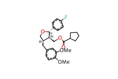 COc1ccc(C[C@H]2CO[C@H](c3ccc(F)cc3)[C@H]2COC(=O)C2CCCC2)cc1OC